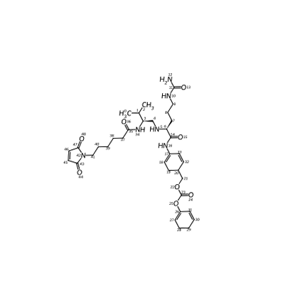 CC(C)[C@@H](CN[C@@H](CCCNC(N)=O)C(=O)NC1=CCC(COC(=O)OC2=CCCC=C2)C=C1)NC(=O)CCCCCN1C(=O)C=CC1=O